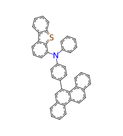 c1ccc(N(c2ccc(-c3cc4ccccc4c4ccc5ccccc5c34)cc2)c2cccc3c2sc2ccccc23)cc1